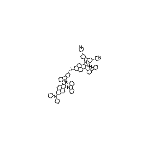 CC(C)(Cc1ccc2c(c1)c1cccc3c1n2B1c2c-3c3ccc4cc(N(c5ccccc5)c5ccccc5)cc5ccc(c2-n2c6ccccc6c6cccc1c62)c3c45)c1cc2ccc3c4c5c(c6ccc(c1)c2c36)-n1c2ccc(-c3ccncc3)cc2c2cc(-c3ccncc3)cc(c21)B5n1c2ccccc2c2cccc-4c21